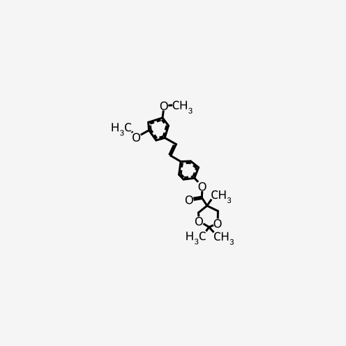 COc1cc(C=Cc2ccc(OC(=O)C3(C)COC(C)(C)OC3)cc2)cc(OC)c1